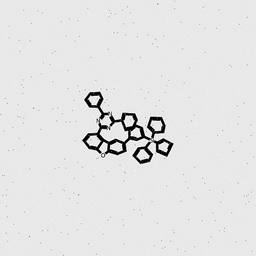 c1ccc(-c2nc(-c3ccccc3)nc(-c3cccc4oc5ccc(-c6cccc([Si](c7ccccc7)(c7ccccc7)c7ccccc7)c6)cc5c34)n2)cc1